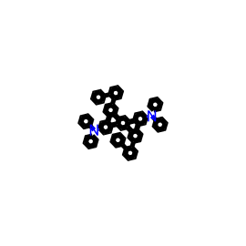 c1ccc(-c2ccccc2-c2ccc3c(c2)c2cc4c5ccc(N(c6ccccc6)c6ccccc6)cc5c5ccc(-c6ccccc6-c6ccccc6)cc5c4cc2c2ccc(N(c4ccccc4)c4ccccc4)cc32)cc1